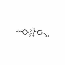 CCCc1ccc(S(=O)(=O)NC(=O)c2ccc(CO)nc2)cc1